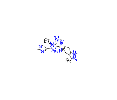 CCn1c(-c2cnc(C)nc2)nc2c(N[C@@H]3CCc4c(c(C(C)C)nn4C)C3)ncnc21